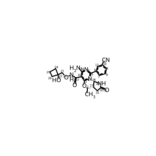 CC(Oc1nc(-c2cccc(C#N)c2)nc(N)c1C(=O)NOCC1(O)CCC1)[C@@H]1CNC(=O)C1